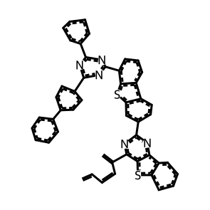 C=C/C=C\C(=C)c1nc(-c2ccc3c(c2)sc2c(-c4nc(-c5ccccc5)nc(-c5ccc(-c6ccccc6)cc5)n4)cccc23)nc2c1sc1ccccc12